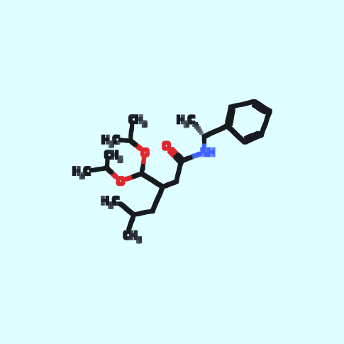 CC(C)CC(CC(=O)N[C@H](C)c1ccccc1)C(OC(C)C)OC(C)C